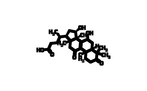 C[C@H](CCC(=O)O)[C@H]1C[C@H](O)[C@@]2(C)C3=C(C(=O)C[C@]12C)[C@@]1(C)CCC(=O)C(C)(C)[C@@H]1C[C@@H]3O